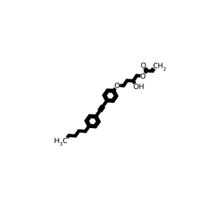 C=CC(=O)OCC(O)CCOc1ccc(C#Cc2ccc(CCCCC)cc2)cc1